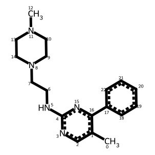 Cc1cnc(NCCN2CCN(C)CC2)nc1-c1ccccc1